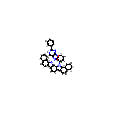 c1ccc(-c2ncc3c(ncn3-n3c4c5ccccc5ccc4c4ccc5c6ccc7ccccc7c6n(-c6ccccc6)c5c43)n2)cc1